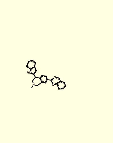 CN1Cc2cc(-c3ncc4ccccc4n3)ccc2C(c2cc3ccccc3[nH]2)C1